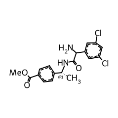 COC(=O)c1ccc([C@@H](C)NC(=O)C(N)c2cc(Cl)cc(Cl)c2)cc1